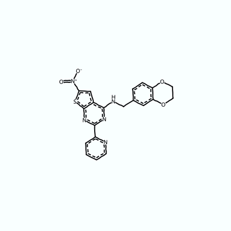 O=[N+]([O-])c1cc2c(NCc3ccc4c(c3)OCCO4)nc(-c3ccccn3)nc2s1